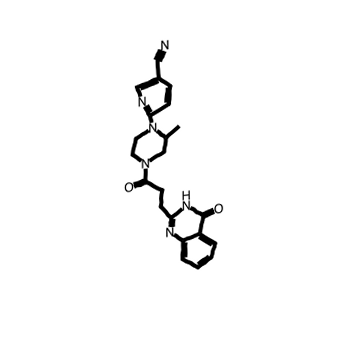 CC1CN(C(=O)CCc2nc3ccccc3c(=O)[nH]2)CCN1c1ccc(C#N)cn1